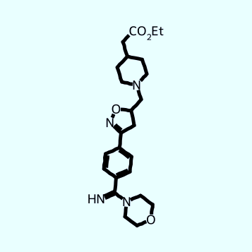 CCOC(=O)CC1CCN(CC2CC(c3ccc(C(=N)N4CCOCC4)cc3)=NO2)CC1